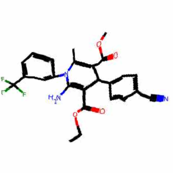 CCOC(=O)C1=C(N)N(c2cccc(C(F)(F)F)c2)C(C)=C(C(=O)OC)C1c1ccc(C#N)cc1